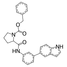 O=C(Nc1cccc(-c2ccc3[nH]ccc3c2)c1)C1CCCN1C(=O)OCc1ccccc1